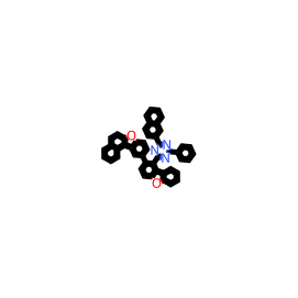 c1ccc(-c2nc(-c3ccc4ccccc4c3)nc(-c3c(-c4ccc5oc6ccc7ccccc7c6c5c4)ccc4oc5ccccc5c34)n2)cc1